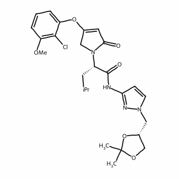 COc1cccc(OC2=CC(=O)N([C@@H](CC(C)C)C(=O)Nc3ccn(C[C@@H]4COC(C)(C)O4)n3)C2)c1Cl